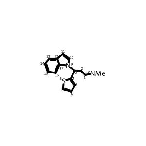 CNCCC(c1cccs1)n1ccc2ccccc21